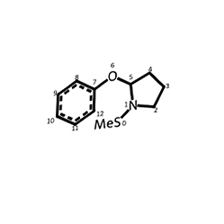 CSN1CCCC1Oc1ccccc1